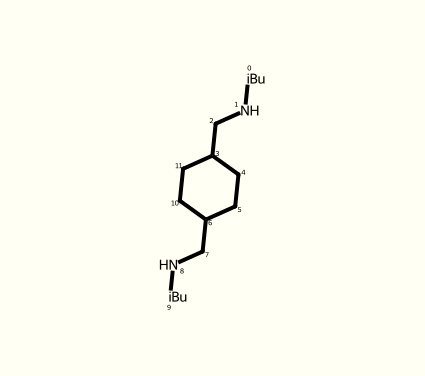 CCC(C)NCC1CCC(CNC(C)CC)CC1